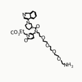 CCOC(=O)Cn1cc(N(CCOCCOCCOCCOCCN)C(=O)[C@H]2CCCN(c3cncc4ccccc34)C2)ccc1=O